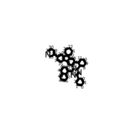 c1ccc(-c2nc(-c3ccccc3-c3ccc4c(c3)C3(CCCCC3)c3cc(-c5cccnc5)ccc3-4)nc(-c3cccc4ccccc34)n2)cc1